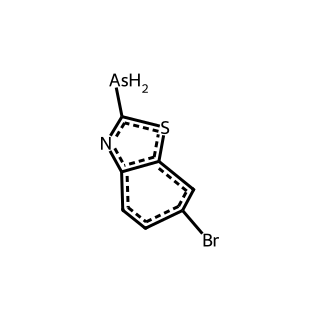 [AsH2]c1nc2ccc(Br)cc2s1